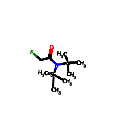 C[Si](C)(C)N(C(=O)CF)[Si](C)(C)C